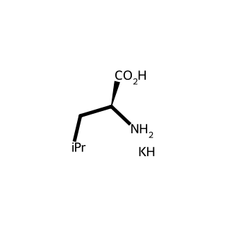 CC(C)C[C@H](N)C(=O)O.[KH]